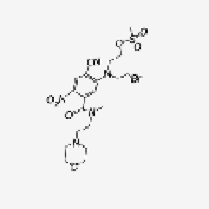 CN(CCN1CCOCC1)C(=O)c1cc(N(CCBr)CCOS(C)(=O)=O)c(C#N)cc1[N+](=O)[O-]